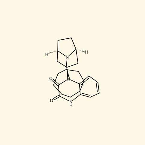 O=c1[nH]c2ccccc2n([C@H]2C[C@H]3CC[C@@H](C2)N3C2CCCCCCC2)c1=O